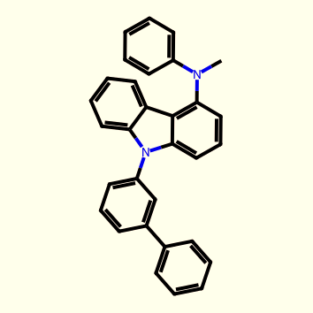 CN(c1ccccc1)c1cccc2c1c1ccccc1n2-c1cccc(-c2ccccc2)c1